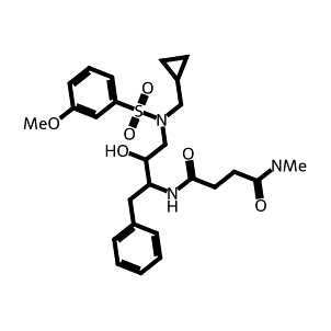 CNC(=O)CCC(=O)NC(Cc1ccccc1)C(O)CN(CC1CC1)S(=O)(=O)c1cccc(OC)c1